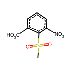 CS(=O)(=O)c1c(C(=O)O)cccc1[N+](=O)[O-]